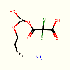 CCCOB(O)OC(=O)C(Cl)(Cl)C(=O)O.N